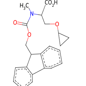 CN(C(=O)OCC1c2ccccc2-c2ccccc21)C(COC1CC1)C(=O)O